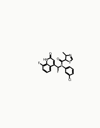 CC1N=CSC1C(=O)N(c1cccc(Cl)c1)C(F)c1cc(=O)[nH]c2c(F)cccc12